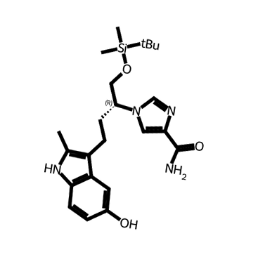 Cc1[nH]c2ccc(O)cc2c1CC[C@H](CO[Si](C)(C)C(C)(C)C)n1cnc(C(N)=O)c1